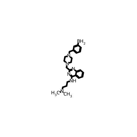 Bc1cccc(CN2CCN(Cc3nc(NCCCN(C)C)c4ccccc4n3)CC2)c1